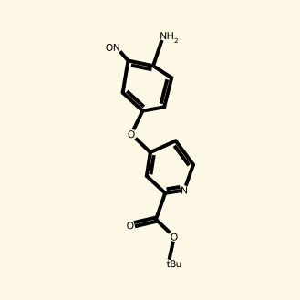 CC(C)(C)OC(=O)c1cc(Oc2ccc(N)c(N=O)c2)ccn1